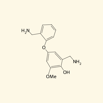 COc1cc(Oc2ccccc2CN)cc(CN)c1O